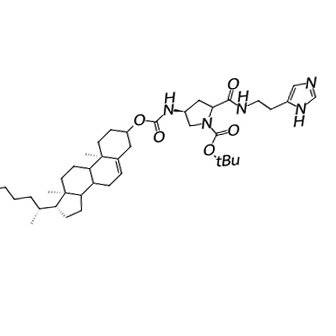 CC(C)CCC[C@@H](C)[C@H]1CCC2C3CC=C4CC(OC(=O)N[C@H]5CC(C(=O)NCCc6cnc[nH]6)N(C(=O)OC(C)(C)C)C5)CC[C@]4(C)C3CC[C@@]21C